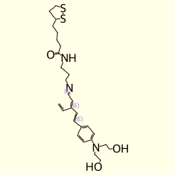 C=CC(/C=C/c1ccc(N(CCO)CCO)cc1)=C\C=N\CCCNC(=O)CCCCC1CCSS1